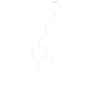 O=C(NCc1ccco1)Nc1ccc2ccccc2c1